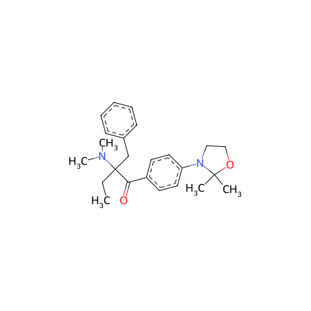 CCC(Cc1ccccc1)(C(=O)c1ccc(N2CCOC2(C)C)cc1)N(C)C